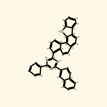 c1ccc(-c2nc(-c3ccc4ccccc4c3)nc(-c3cccc4c3ccc3ccc5c6ccccc6oc5c34)n2)cc1